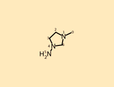 CN1CCN(N)C1